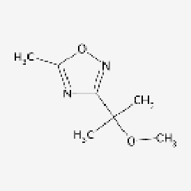 COC(C)(C)c1noc(C)n1